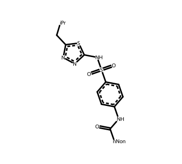 CCCCCCCCCC(=O)Nc1ccc(S(=O)(=O)Nc2nnc(CC(C)C)s2)cc1